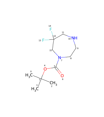 CC(C)(C)OC(=O)N1CCNCC(F)(F)C1